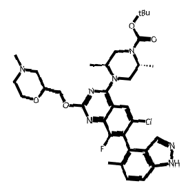 Cc1ccc2[nH]ncc2c1-c1c(Cl)cc2c(N3C[C@@H](C)N(C(=O)OC(C)(C)C)C[C@@H]3C)nc(OCC3CN(C)CCO3)nc2c1F